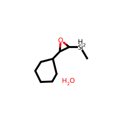 C[SiH2]C1OC1C1CCCCC1.O